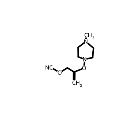 C=C(COC#N)ON1CCN(C)CC1